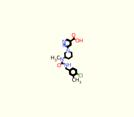 Cc1cc(CNC(=O)N(C)[C@@H]2CCCN(c3cc(C(=O)O)cnn3)C2)ccc1Cl